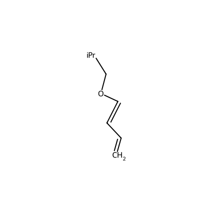 C=CC=COCC(C)C